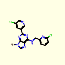 [2H]n1cnc2c(NCc3cccc(Cl)n3)nc(-c3cncc(Cl)c3)nc21